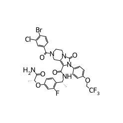 C[C@@H](Oc1ccc([C@@H](C)NC(=O)c2c3n(c(=O)n2-c2ccc(OCC(F)(F)F)cc2)CCN(C(=O)c2ccc(Br)c(Cl)c2)C3)c(F)c1)C(N)=O